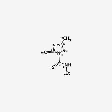 CCNC(=S)n1sc(C)cc1=O